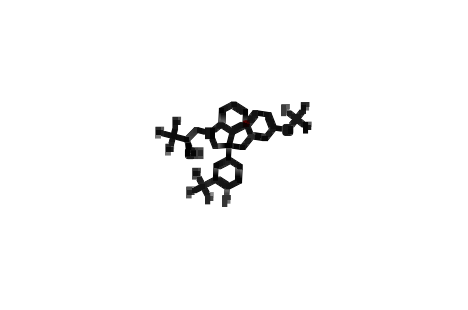 O[C@H](CN1CC(Cc2cccc(OC(F)(F)F)c2)(c2ccc(F)c(C(F)(F)F)c2)c2ccccc21)C(F)(F)F